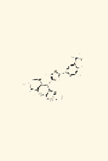 O=C1CNCC2=C1C(c1ccc(-c3cccc(C(F)(F)F)c3)o1)c1c[nH]nc1N2